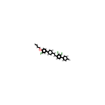 CCCCOc1ccc(C2CCC(CCc3ccc(C4=CCC(C)CC4)c(F)c3F)CC2)cc1F